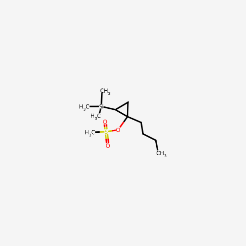 CCCCC1(OS(C)(=O)=O)CC1[Si](C)(C)C